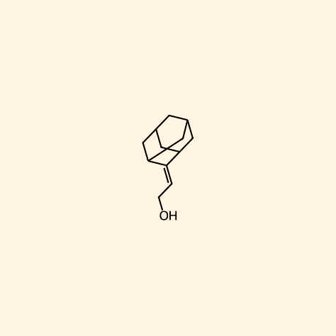 OCC=C1C2CC3CC(C2)CC1C3